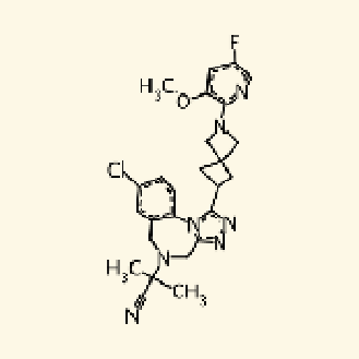 COc1cc(F)cnc1N1CC2(CC(c3nnc4n3-c3ccc(Cl)cc3CN(C(C)(C)C#N)C4)C2)C1